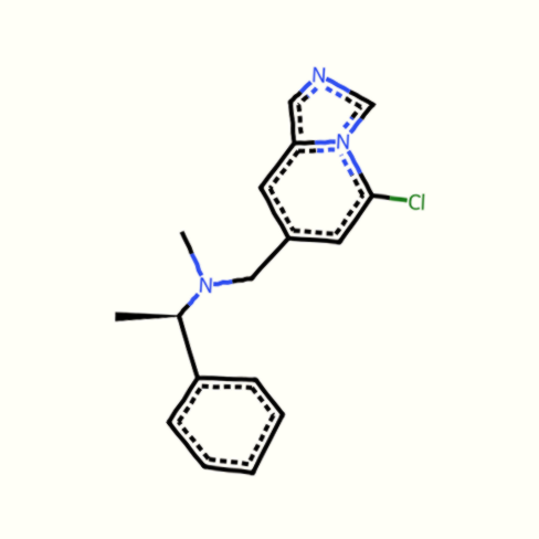 C[C@H](c1ccccc1)N(C)Cc1cc(Cl)n2cncc2c1